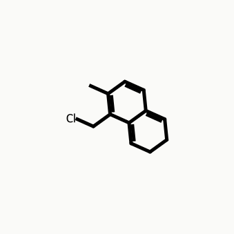 Cc1ccc2c(c1CCl)=CCCC=2